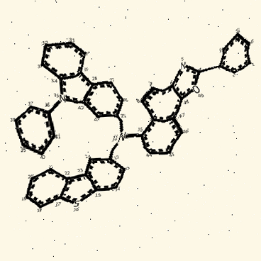 c1ccc(-c2nc3ccc4c(N(c5ccc6sc7ccccc7c6c5)c5ccc6c7ccccc7n(-c7ccccc7)c6c5)cccc4c3o2)cc1